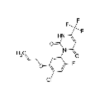 C=CCOc1cc(-n2c(=O)cc(C(F)(F)F)[nH]c2=O)c(F)cc1Cl